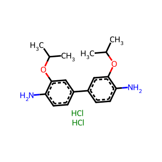 CC(C)Oc1cc(-c2ccc(N)c(OC(C)C)c2)ccc1N.Cl.Cl